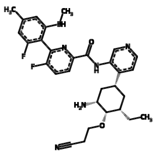 CBc1cc(C)cc(F)c1-c1nc(C(=O)Nc2cnccc2[C@@H]2C[C@H](CC)[C@H](OCCC#N)[C@H](N)C2)ccc1F